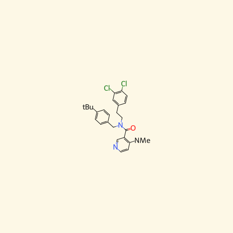 CNc1ccncc1C(=O)N(CCc1ccc(Cl)c(Cl)c1)Cc1ccc(C(C)(C)C)cc1